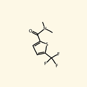 CN(C)C(=O)c1ccc(C(F)(F)F)s1